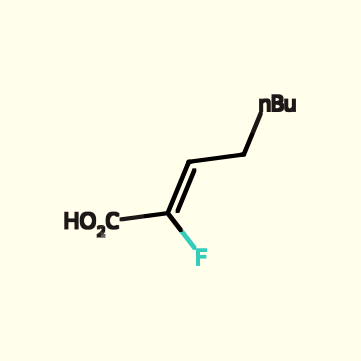 CCCCCC=C(F)C(=O)O